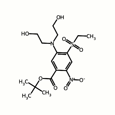 CCS(=O)(=O)c1cc([N+](=O)[O-])c(C(=O)OC(C)(C)C)cc1N(CCO)CCO